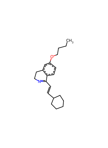 CCCCOc1ccc2c(c1)CCN=C2C=CC1CCCCC1